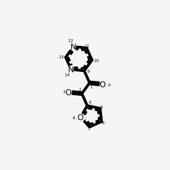 O=C(C(=O)c1ccco1)c1ccncn1